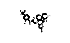 O=C(Cn1c2c(c(=O)n3nc(Br)nc13)C1(CCNCC1)OCC2)Nc1ccc(C(F)(F)F)cc1Cl